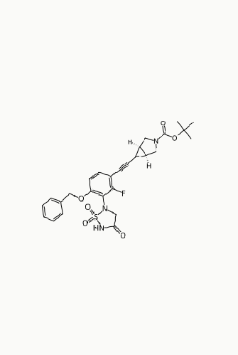 CC(C)(C)OC(=O)N1C[C@@H]2C(C#Cc3ccc(OCc4ccccc4)c(N4CC(=O)NS4(=O)=O)c3F)[C@@H]2C1